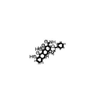 CN(C)[C@@H]1C(OCc2ccccc2)=C(C(N)=O)C(=O)[C@]2(O)C(O)=C3C(=O)c4c(O)cccc4C[C@H]3C[C@@H]12